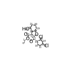 CCOC(=O)c1c(C(=O)c2ccc(Cl)cc2Cl)oc2cccc(O)c12